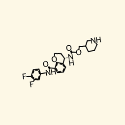 O=C(N[C@H]1CCOc2c(C(=O)Nc3ccc(F)c(F)c3)cccc21)OCC1CCCNC1